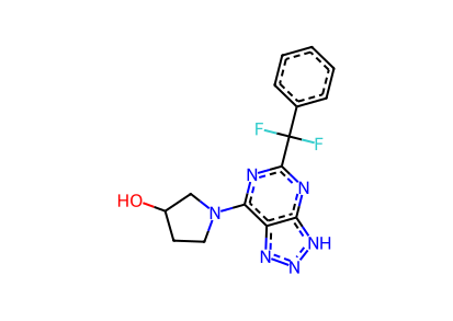 OC1CCN(c2nc(C(F)(F)c3ccccc3)nc3[nH]nnc23)C1